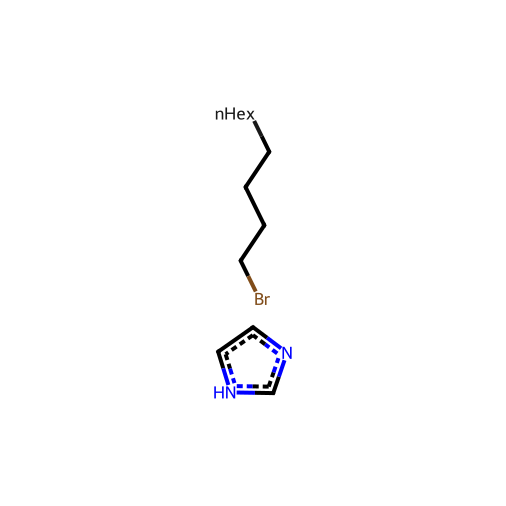 CCCCCCCCCCBr.c1c[nH]cn1